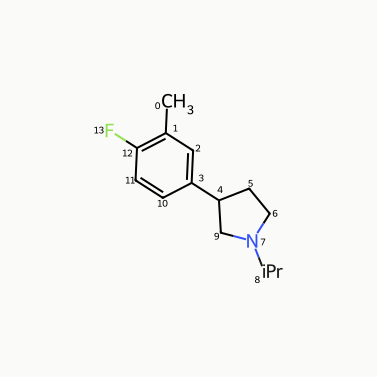 Cc1cc(C2CCN(C(C)C)C2)ccc1F